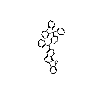 c1ccc(N(c2cccc(C3(c4ccccc4)c4ccccc4-c4ccccc43)c2)c2ccc3c(ccc4c5ccccc5oc34)c2)cc1